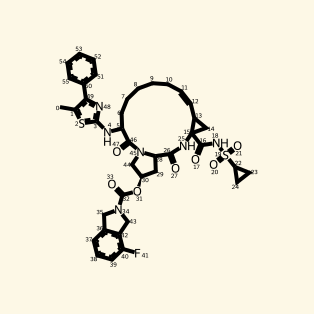 Cc1sc(NC2CCCCC/C=C\C3CC3(C(=O)NS(=O)(=O)C3CC3)NC(=O)C3C[C@@H](OC(=O)N4Cc5cccc(F)c5C4)CN3C2=O)nc1-c1ccccc1